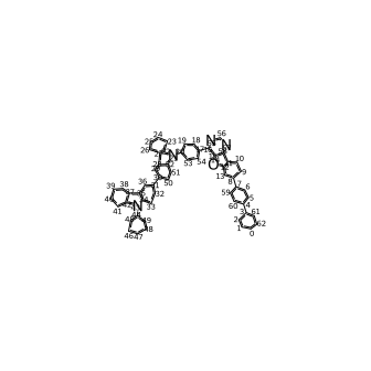 c1ccc(-c2ccc(-c3ccc4c(c3)oc3c(-c5ccc(-n6c7ccccc7c7cc(-c8ccc9c(c8)c8ccccc8n9-c8ccccc8)ccc76)cc5)ncnc34)cc2)cc1